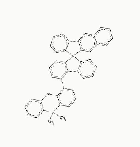 CC1(C)c2ccccc2Oc2c(-c3cccc4c3-c3ccccc3C43c4ccccc4-c4cc5ccccc5cc43)cccc21